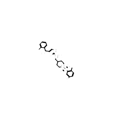 Cc1ccccc1C(=O)c1cnc(NCC2CCN(S(=O)(=O)c3cc(F)ccc3C)CC2)s1